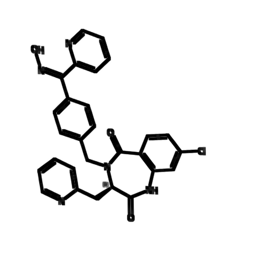 O=C1Nc2cc(Cl)ccc2C(=O)N(Cc2ccc(C(=NO)c3ccccn3)cc2)[C@@H]1Cc1ccccn1